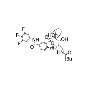 CC(C)(C)C(=O)NCC(O)C(O)C[C@]1(O)C2CCC1C[C@@H](S(=O)(=O)c1cc(C(=O)Nc3cc(F)c(F)c(F)c3)ccc1Cl)C2